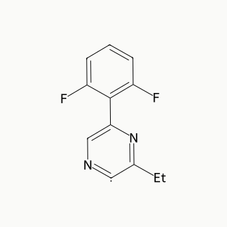 CCc1[c]ncc(-c2c(F)cccc2F)n1